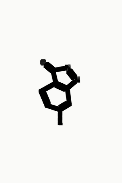 [CH2]c1ccc2c(c1)N=NC2=O